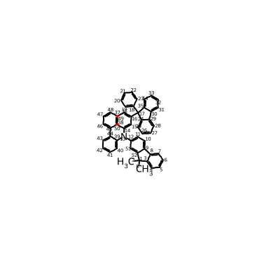 CC1(C)c2ccccc2-c2ccc(N(C3=CC(C4(c5ccccc5)c5ccccc5-c5ccccc54)=CCC3)c3ccccc3-c3ccccc3)cc21